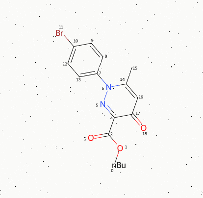 CCCCOC(=O)c1nn(-c2ccc(Br)cc2)c(C)cc1=O